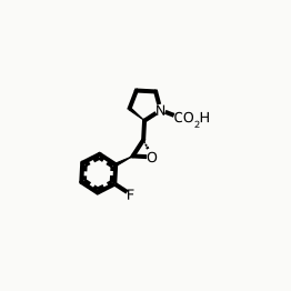 O=C(O)N1CCC[C@@H]1[C@@H]1O[C@H]1c1ccccc1F